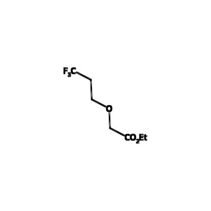 CCOC(=O)COCCC(F)(F)F